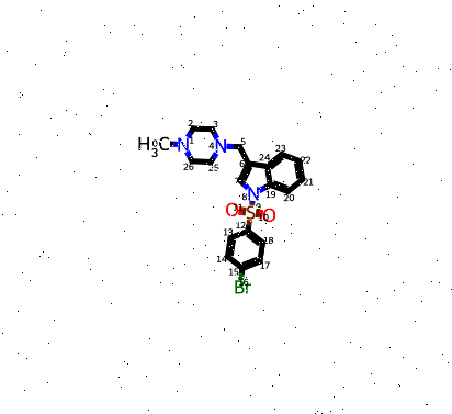 CN1CCN(Cc2cn(S(=O)(=O)c3ccc(Br)cc3)c3ccccc23)CC1